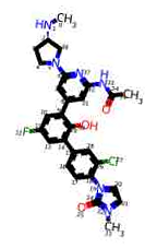 CN[C@H]1CCN(c2cc(-c3cc(F)cc(-c4ccc(-n5ccn(C)c5=O)c(Cl)c4)c3O)cc(NC(C)=O)n2)C1